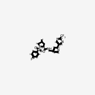 CC1C[C@@H](C(=O)NCc2ccnc(-c3cnc(C(F)(F)F)nc3)c2)N(S(=O)(=O)c2ccc(F)cc2)C1